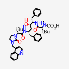 CCC(C)[C@@H](C(=O)N[C@@H](Cc1ccccc1)C[C@@H](O)[C@H](Cc1ccccc1)NC(=O)[C@@H](N(C)C(=O)O)C(C)(C)C)N1CCN(Cc2ccnc3ccccc23)C1=O